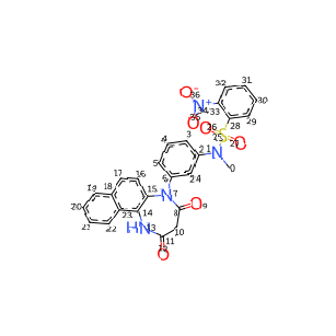 CN(c1cccc(N2C(=O)CC(=O)Nc3c2ccc2ccccc32)c1)S(=O)(=O)c1ccccc1[N+](=O)[O-]